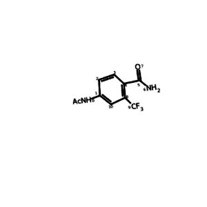 CC(=O)Nc1ccc(C(N)=O)c(C(F)(F)F)c1